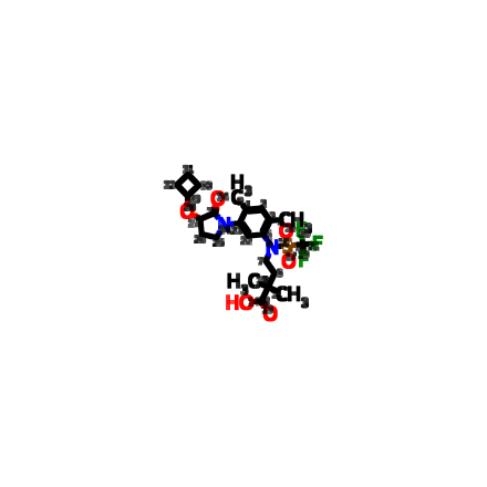 Cc1cc(C)c(N(CCC(C)(C)C(=O)O)S(=O)(=O)C(F)(F)F)cc1N1CCC(OC2CCC2)C1=O